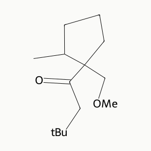 COCC1(C(=O)CC(C)(C)C)CCCC1C